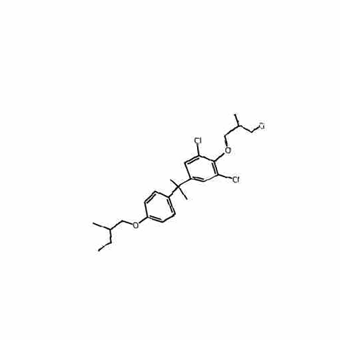 CCC(C)COc1ccc(C(C)(C)c2cc(Cl)c(OCC(C)CCl)c(Cl)c2)cc1